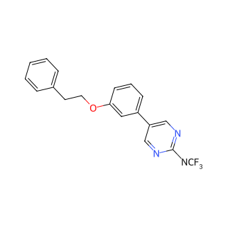 FC(F)(F)Nc1ncc(-c2cccc(OCCc3ccccc3)c2)cn1